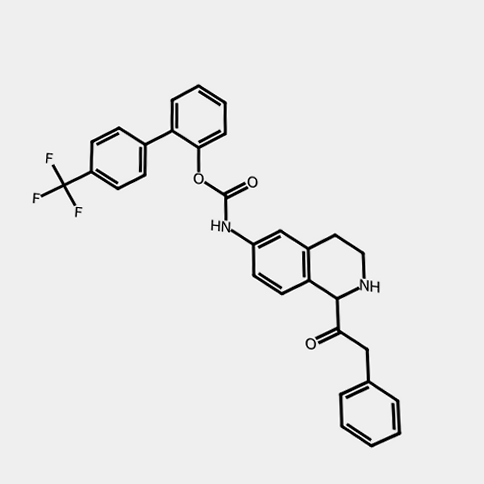 O=C(Nc1ccc2c(c1)CCNC2C(=O)Cc1ccccc1)Oc1ccccc1-c1ccc(C(F)(F)F)cc1